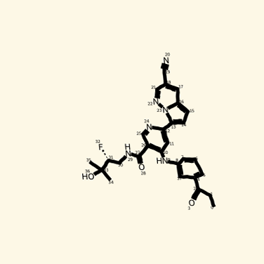 CCC(=O)c1cccc(Nc2cc(-c3ccc4cc(C#N)cnn34)ncc2C(=O)NC[C@@H](F)C(C)(C)O)c1